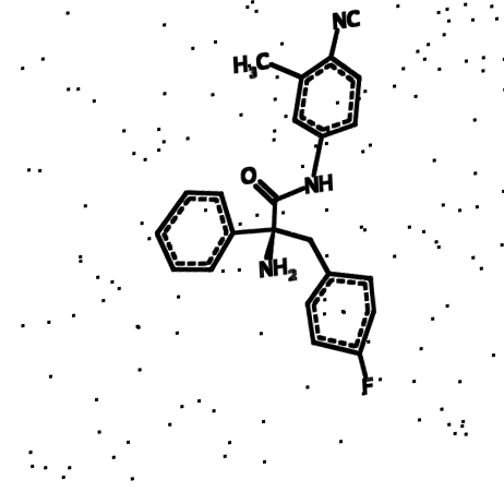 [C-]#[N+]c1ccc(NC(=O)[C@](N)(Cc2ccc(F)cc2)c2ccccc2)cc1C